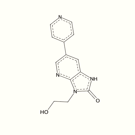 O=c1[nH]c2cc(-c3ccncc3)cnc2n1CCO